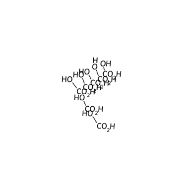 O=C(O)O.O=C(O)O.O=C(O)O.O=C(O)O.O=C(O)O.O=C(O)O.O=C(O)O